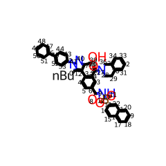 CCCCc1c(-c2ccc(C(=O)NS(=O)(=O)c3ccc4ccccc4c3)cc2C(=O)N2CCc3ccccc3C2)c(CO)nn1-c1ccc(-c2ccccc2)cc1